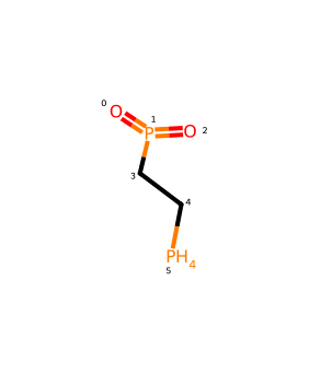 O=P(=O)CC[PH4]